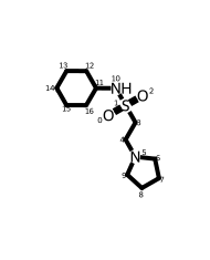 O=S(=O)(CCN1CCCC1)NC1CC[CH]CC1